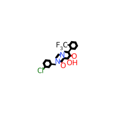 O=c1c(-c2ccccc2C(F)(F)F)cn2ccn(Cc3cccc(Cl)c3)c(=O)c2c1O